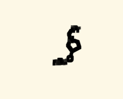 CCCCO[C@@H]1CCN(CC(C)C)C1